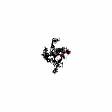 CCN(CCOc1ccc(NC(=O)NC(=O)C[C@@H]2CC(=O)[C@H](NC(=O)[C@@H](CC(C)C)N(C)C(=O)OC(C)(C)C)[C@H](O)c3ccc(c(Cl)c3)Oc3cc4cc(c3O[C@@H]3O[C@H](CCC(=O)OC(C)(C)C)[C@@H](O)[C@H](O)[C@H]3O)Oc3ccc(cc3Cl)[C@@H](O)[C@@H]3NC(=O)[C@H](CC(=O)C4NC2=O)c2ccc(O)c(c2)-c2c(O)cc(O)cc2[C@@H](C(=O)CC2C4CC5CC(C4)CC2C5)NC3=O)cc1)C(=O)OC(C)(C)C